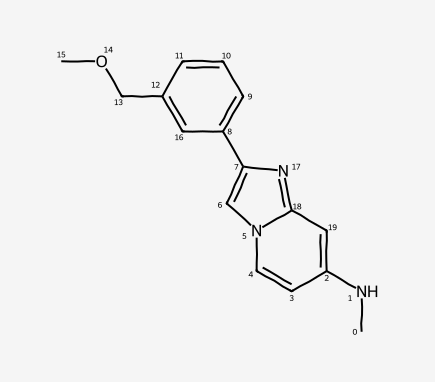 CNc1ccn2cc(-c3cccc(COC)c3)nc2c1